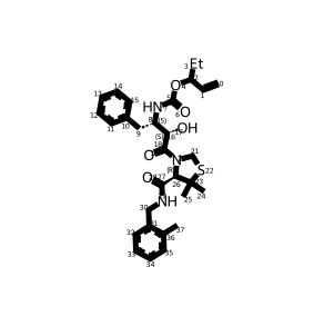 C=CC(CC)OC(=O)N[C@@H](Cc1ccccc1)[C@H](O)C(=O)N1CSC(C)(C)[C@H]1C(=O)NCc1ccccc1C